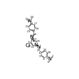 CN(C)c1ccc(C=Nn2cc[n+](N=Cc3ccc(N(C)C)cc3)c2)cc1.[Cl-]